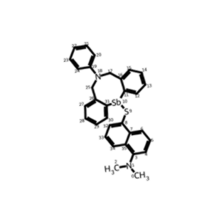 CN(C)c1cccc2c([S][Sb]3[c]4ccccc4CN(c4ccccc4)Cc4cccc[c]43)cccc12